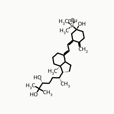 C=C1CC[C@@](O)([Si](C)(C)CCCC)C/C1=C/C=C1CCC[C@@]2(C)C1CC[C@@H]2[C@H](C)CC[C@@H](O)C(C)(C)O